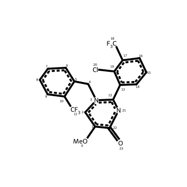 COc1cn(Cc2ccccc2C(F)(F)F)c(-c2cccc(C(F)(F)F)c2Cl)nc1=O